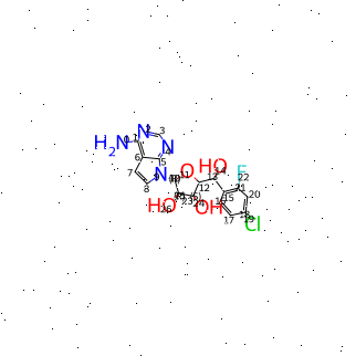 Nc1ncnc2c1ccn2[C@@H]1OC(C(O)c2ccc(Cl)cc2F)[C@@H](O)[C@H]1O